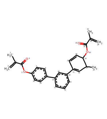 C=C(C)C(=O)Oc1ccc(-c2cccc(C3=CC(C)C(OC(=O)C(=C)C)C=C3)c2)cc1